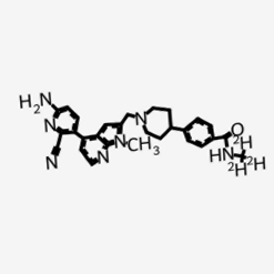 [2H]C([2H])([2H])NC(=O)c1ccc(C2CCN(Cc3cc4c(-c5ccc(N)nc5C#N)ccnc4n3C)CC2)cc1